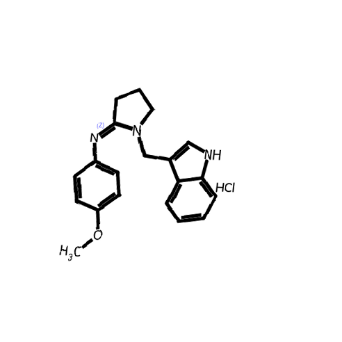 COc1ccc(/N=C2/CCCN2Cc2c[nH]c3ccccc23)cc1.Cl